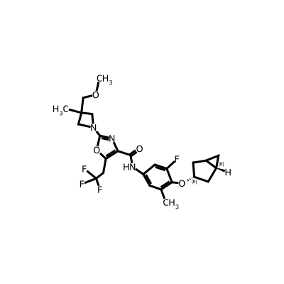 COCC1(C)CN(c2nc(C(=O)Nc3cc(C)c(O[C@@H]4CC5C[C@@H]5C4)c(F)c3)c(CC(F)(F)F)o2)C1